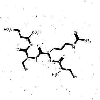 CC(C)C[C@H](NC(=O)[C@H](CCCNC(=N)N)NC(=O)[C@@H](N)CC(C)C)C(=O)N[C@@H](CCC(=O)O)C(=O)O